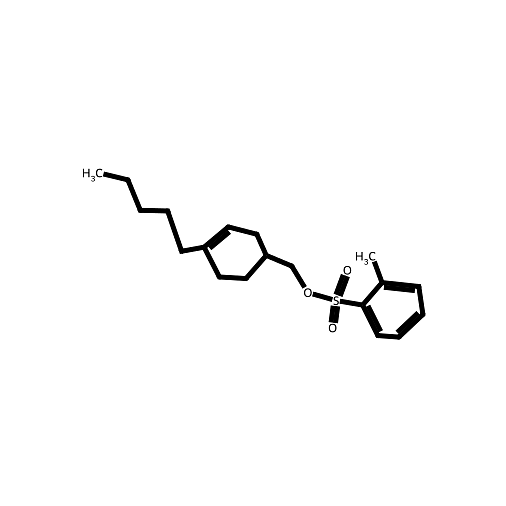 CCCCCC1=CCC(COS(=O)(=O)c2ccccc2C)CC1